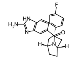 Nc1nc2cc(C(=O)N3[C@@H]4CC[C@H]3C[C@@H](c3ccc(F)cc3)C4)ccc2[nH]1